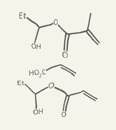 C=C(C)C(=O)OC(O)CC.C=CC(=O)O.C=CC(=O)OC(O)CC